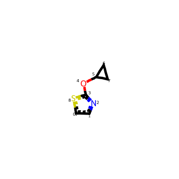 [c]1cnc(OC2CC2)s1